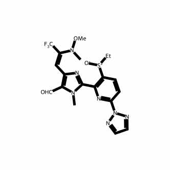 CC[S+]([O-])c1ccc(-n2nccn2)nc1-c1nc(/C=C(\N(C)OC)C(F)(F)F)c(C=O)n1C